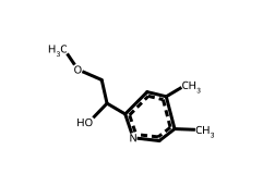 COCC(O)c1cc(C)c(C)cn1